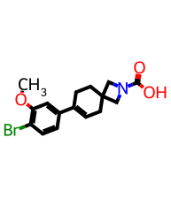 COc1cc(C2=CCC3(CC2)CN(C(=O)O)C3)ccc1Br